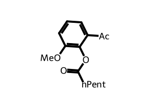 CCCCCC(=O)Oc1c(OC)cccc1C(C)=O